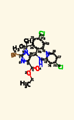 CCOC(=O)c1nc(Br)n2c1C(Nc1cc(Cl)ccn1)c1ccc(Cl)cc1C2(C)C